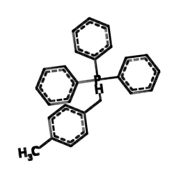 Cc1ccc(C[PH](c2ccccc2)(c2ccccc2)c2ccccc2)cc1